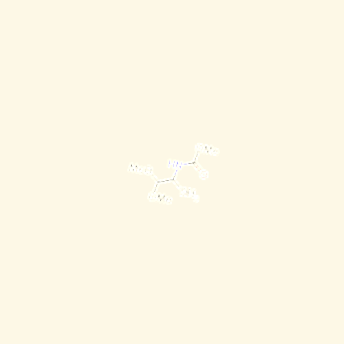 COC(=O)NC([SiH3])C(OC)OC